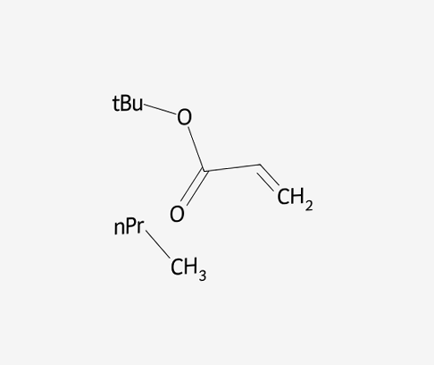 C=CC(=O)OC(C)(C)C.CCCC